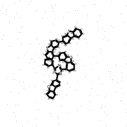 c1ccc(-c2nc(-c3ccc4c(c3)oc3ccccc34)nc(-c3cccc4oc5ccc(-c6cccc7sc8ccc(-c9ccc%10c(c9)sc9ccccc9%10)cc8c67)cc5c34)n2)cc1